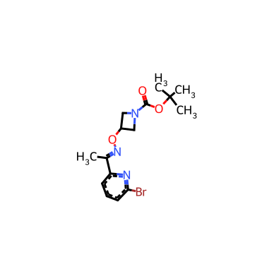 C/C(=N\OC1CN(C(=O)OC(C)(C)C)C1)c1cccc(Br)n1